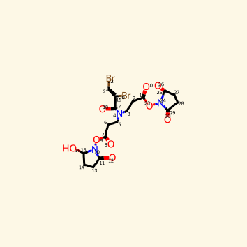 O=C(CCN(CCC(=O)ON1C(=O)CCC1O)C(=O)/C(Br)=C/Br)ON1C(=O)CCC1=O